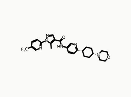 Cc1c(C(=O)Nc2ccc([C@H]3CC[C@@H](N4CCOCC4)CC3)nc2)cnn1-c1ccc(C(F)(F)F)cn1